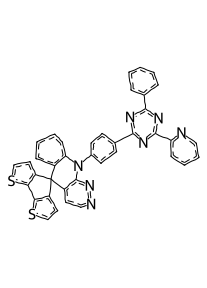 c1ccc(-c2nc(-c3ccc(N4c5ccccc5C5(c6ccnnc64)c4ccsc4-c4sccc45)cc3)nc(-c3ccccn3)n2)cc1